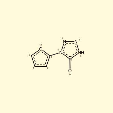 O=c1[nH]nnn1-c1ccco1